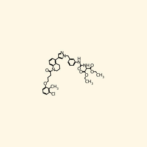 CCOC(=O)C(NC(=O)Nc1cccc(Cn2cc(-c3cccc4c3CCCN4C(=O)CCCOc3cccc(Cl)c3C)cn2)c1)C(=O)OCC